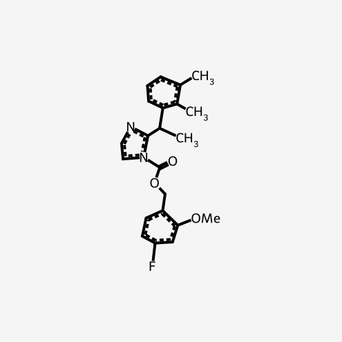 COc1cc(F)ccc1COC(=O)n1ccnc1C(C)c1cccc(C)c1C